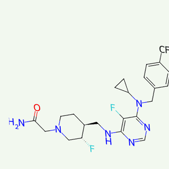 NC(=O)CN1CC[C@@H](CNc2ncnc(N(Cc3ccc(C(F)(F)F)cc3)C3CC3)c2F)[C@H](F)C1